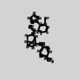 O=C(c1cccc(F)c1-n1nccn1)N1CC2C3CC(Nc4cnc(C(F)(F)F)cn4)C1C32